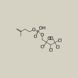 C=C(C)CCOP(=O)(O)OCC(Cl)(Cl)C(Cl)C(Cl)(Cl)Cl